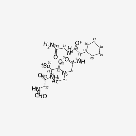 CC(=O)CN(CC(=O)NC(C(=O)NCC(N)=O)C1CCCCC1)C(=O)C(NC(=O)CNC=O)C(C)(C)C